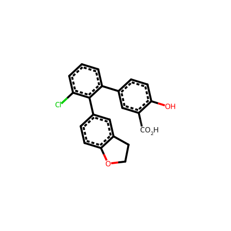 O=C(O)c1cc(-c2cccc(Cl)c2-c2ccc3c(c2)CCO3)ccc1O